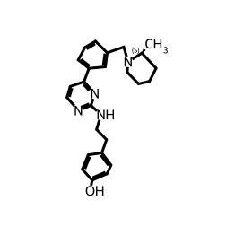 C[C@H]1CCCCN1Cc1cccc(-c2ccnc(NCCc3ccc(O)cc3)n2)c1